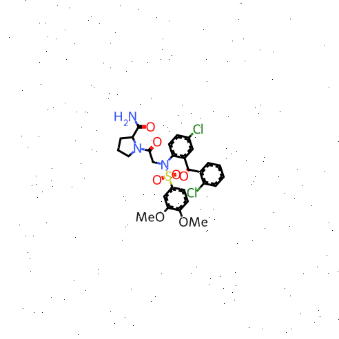 COc1ccc(S(=O)(=O)N(CC(=O)N2CCCC2C(N)=O)c2ccc(Cl)cc2C(=O)c2ccccc2Cl)cc1OC